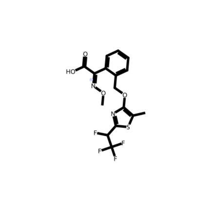 CO/N=C(/C(=O)O)c1ccccc1COc1nc(C(F)C(F)(F)F)sc1C